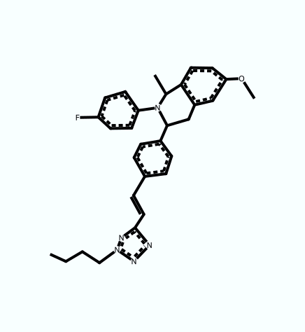 CCCCn1nnc(/C=C/c2ccc(C3Cc4cc(OC)ccc4C(C)N3c3ccc(F)cc3)cc2)n1